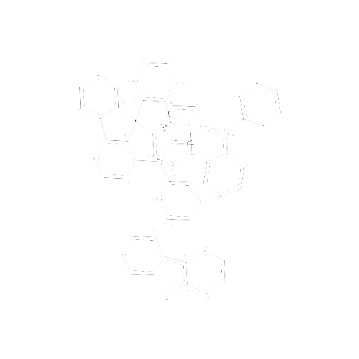 c1ccc(-n2c3ccccc3c3c(N(c4cccc(-c5cccc6oc7ccccc7c56)c4)c4cccc5c4C4(c6ccccc6-c6ccccc64)c4ccccc4-5)cccc32)cc1